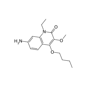 CCCCOc1c(OC)c(=O)n(CC)c2cc(N)ccc12